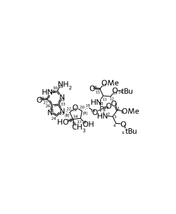 COC(=O)C(COC(C)(C)C)NP(=O)(NC(COC(C)(C)C)C(=O)OC)OC[C@H]1O[C@@H](n2cnc3c(=O)[nH]c(N)nc32)[C@@](C)(O)C1O